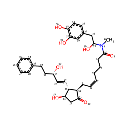 CN(C(=O)CCC/C=C\C[C@H]1C(=O)C[C@@H](O)[C@@H]1/C=C/[C@@H](O)CCc1ccccc1)C(O)Cc1ccc(O)c(O)c1